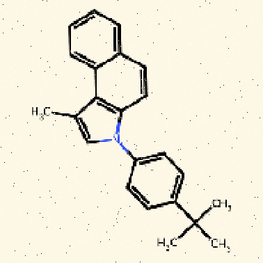 Cc1cn(-c2ccc(C(C)(C)C)cc2)c2ccc3ccccc3c12